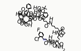 COC(=O)[C@H](CCCCNC(=O)CCC(=O)O[C@@H](C(=O)O[C@H]1C[C@@]2(O)[C@@H](OC(=O)c3ccccc3)[C@@H]3[C@]4(CC(C)=O)CO[C@@H]4C[C@H](O)[C@@]3(C)C(=O)[C@H](O)C(=C1C)C2(C)C)[C@@H](NC(O)OC(C)(C)C)c1ccccc1)NC(=O)CC[C@@H](NC(=O)[C@H](C)NC(=O)/C=C/c1ccc(F)cc1Cl)C(N)=O